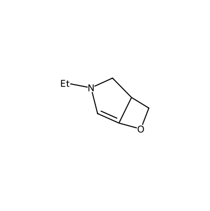 CCN1C=C2OCC2C1